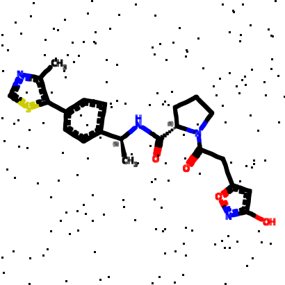 Cc1ncsc1-c1ccc([C@H](C)NC(=O)[C@@H]2CCCN2C(=O)Cc2cc(O)no2)cc1